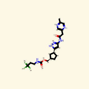 Cc1cnc(CC(=O)Nc2cc([C@H]3CC[C@@H](COC(=O)NCCC(F)(F)F)C3)[nH]n2)cn1